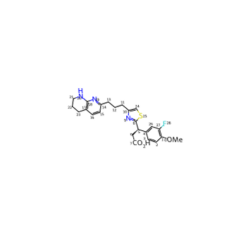 COc1ccc([C@@H](CC(=O)O)c2nc(CCCc3ccc4c(n3)NCCC4)cs2)cc1F